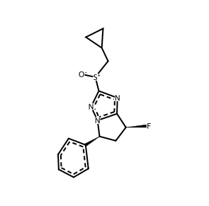 [O-][S+](CC1CC1)c1nc2n(n1)[C@H](c1ccccc1)C[C@@H]2F